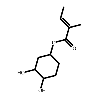 CC=C(C)C(=O)OC1CCC(O)C(O)C1